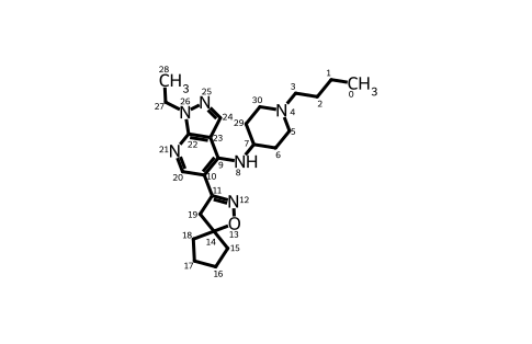 CCCCN1CCC(Nc2c(C3=NOC4(CCCC4)C3)cnc3c2cnn3CC)CC1